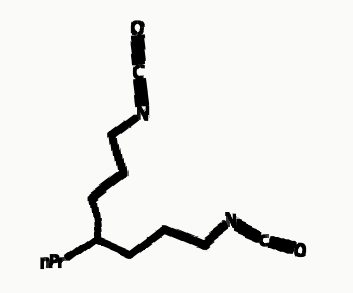 CCCC(CCCN=C=O)CCCN=C=O